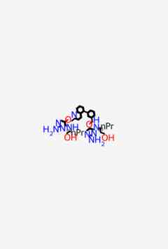 CCC[C@H](CCO)Nc1nc(N)ncc1OCc1cccc(-c2cccc3nc(COc4cnc(N)nc4N[C@H](CO)CCC)ccc23)c1